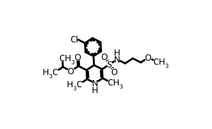 COCCCNS(=O)(=O)C1=C(C)NC(C)=C(C(=O)OC(C)C)C1c1cccc(Cl)c1